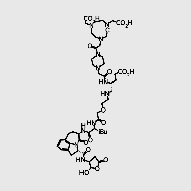 CC[C@H](C)[C@H](NC(=O)COCCNC[C@@H](CCC(=O)O)NC(=O)CN1CCN(C(=O)CN2CCN(CC(=O)O)CCN(CC(=O)O)CC2)CC1)C(=O)N[C@H]1CCc2cccc3c2N(C1=O)[C@H](C(=O)NC1CC(=O)OC1O)C3